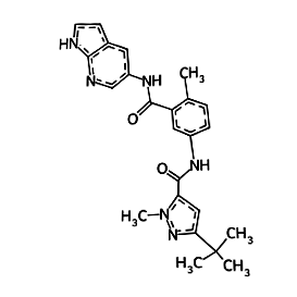 Cc1ccc(NC(=O)c2cc(C(C)(C)C)nn2C)cc1C(=O)Nc1cnc2[nH]ccc2c1